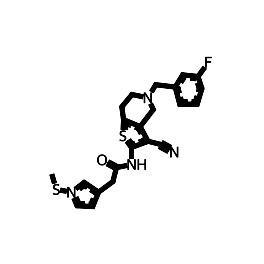 CSn1ccc(CC(=O)Nc2sc3c(c2C#N)CN(Cc2cccc(F)c2)CC3)c1